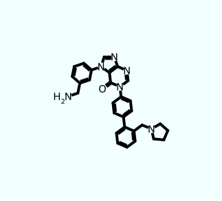 NCc1cccc(-n2cnc3ncn(-c4ccc(-c5ccccc5CN5CCCC5)cc4)c(=O)c32)c1